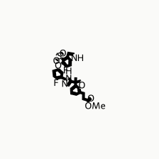 COC(=O)CCc1cccc2c1OCC2(C)c1cnc(-c2cc(Oc3c(F)cc4[nH]ccc4c3S(C)(=O)=O)ccc2F)[nH]1